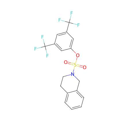 O=S(=O)(Oc1cc(C(F)(F)F)cc(C(F)(F)F)c1)N1CCc2ccccc2C1